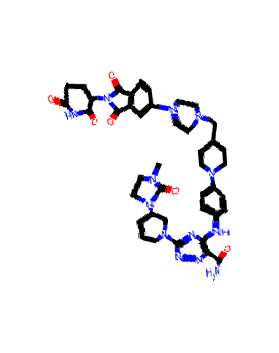 CN1CCN([C@@H]2CCCN(c3nnc(C(N)=O)c(Nc4ccc(N5CCC(CN6CCN(c7ccc8c(c7)C(=O)N(C7CCC(=O)NC7=O)C8=O)CC6)CC5)cc4)n3)C2)C1=O